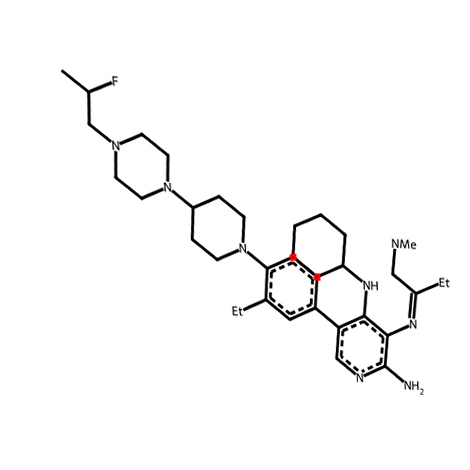 CC/C(CNC)=N/c1c(N)ncc(-c2ccc(N3CCC(N4CCN(CC(C)F)CC4)CC3)c(CC)c2)c1NC1CCCCC1